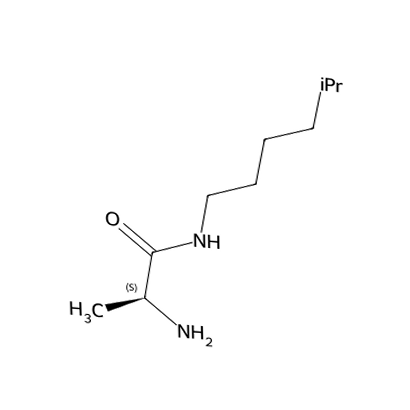 CC(C)CCCCNC(=O)[C@H](C)N